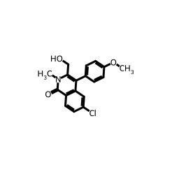 COc1ccc(-c2c(CO)n(C)c(=O)c3ccc(Cl)cc23)cc1